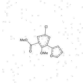 COC(=O)c1cc(Cl)cc(-c2ccco2)c1OC